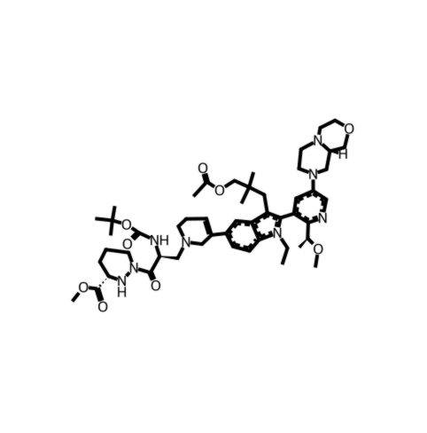 CCn1c(-c2cc(N3CCN4CCOC[C@@H]4C3)cnc2[C@H](C)OC)c(CC(C)(C)COC(C)=O)c2cc(C3=CCCN(C[C@H](NC(=O)OC(C)(C)C)C(=O)N4CCC[C@@H](C(=O)OC)N4)C3)ccc21